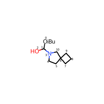 CC(C)COC(O)N1CCC2(CCC2)C1